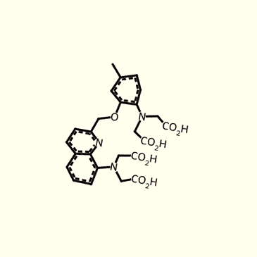 Cc1ccc(N(CC(=O)O)CC(=O)O)c(OCc2ccc3cccc(N(CC(=O)O)CC(=O)O)c3n2)c1